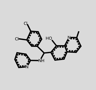 Cc1ccc2ccc(C(Nc3ccccn3)c3ccc(Cl)c(Cl)c3)c(O)c2n1